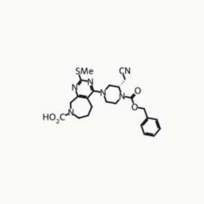 CSc1nc2c(c(N3CCN(C(=O)OCc4ccccc4)[C@@H](CC#N)C3)n1)CCCN(C(=O)O)C2